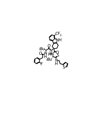 CCC(C)[C@H](NC(=O)Cc1ccccc1F)C(=O)N[C@]1(C(=O)N[C@H](C(=S)NCCc2cccs2)C(C)CC)CCc2[nH]c3c(C(F)(F)F)cccc3c2C1